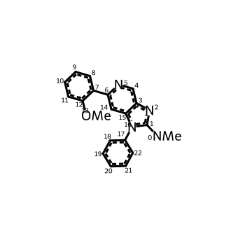 CNc1nc2cnc(-c3ccccc3OC)cc2n1-c1ccccc1